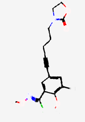 CON=C(Cl)c1cc(C#CCCCN2CCOC2=O)cc(C)c1OC